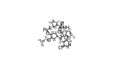 CC(=O)SC(C)(C)C(NS(=O)(=O)c1ccccc1)C(=O)O[C@@H](Cc1c(Cl)cncc1Cl)c1ccc(OC(F)F)c(OCC2CC2)c1